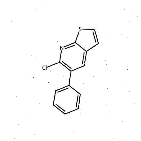 Clc1nc2sccc2cc1-c1ccccc1